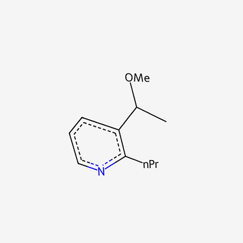 CCCc1ncccc1C(C)OC